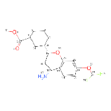 COC(=O)C1CCCC([C@H]2C[C@@H](N)c3ccc(OC(F)F)cc3O2)C1